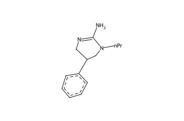 CCCN1CC(c2ccccc2)CN=C1N